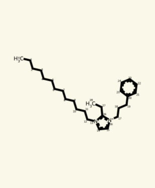 CCCCCCCCCCCCCn1cc[n+](CCCc2ccccc2)c1CC